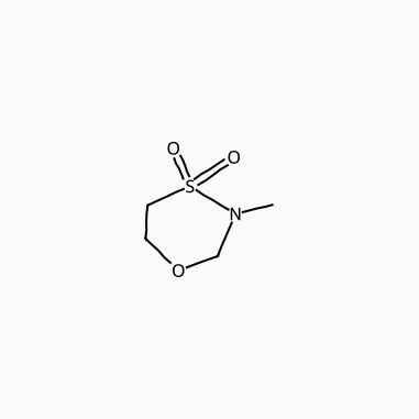 CN1COCCS1(=O)=O